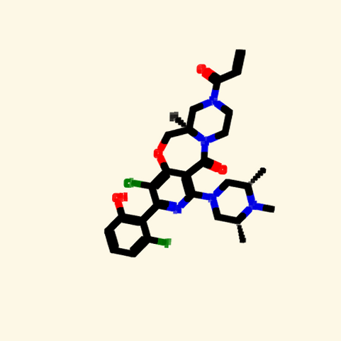 C=CC(=O)N1CCN2C(=O)c3c(N4C[C@@H](C)N(C)[C@@H](C)C4)nc(-c4c(O)cccc4F)c(Cl)c3OC[C@H]2C1